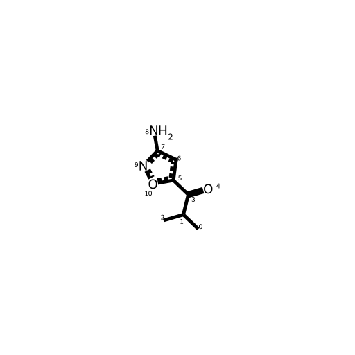 CC(C)C(=O)c1cc(N)no1